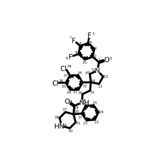 O=C(c1cc(F)c(F)c(F)c1)N1CCC(CCNC(=O)C2(c3ccccc3)CCNCC2)(c2ccc(Cl)c(Cl)c2)C1